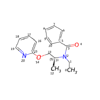 CCN(C(=O)c1ccccc1)[C@@H](C)COc1ccccn1